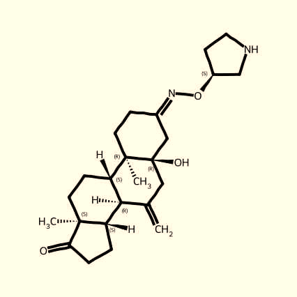 C=C1C[C@@]2(O)CC(=NO[C@H]3CCNC3)CC[C@]2(C)[C@H]2CC[C@]3(C)C(=O)CC[C@H]3[C@H]12